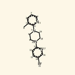 Cc1cccnc1N1CCN(c2ccc(Br)cn2)CC1